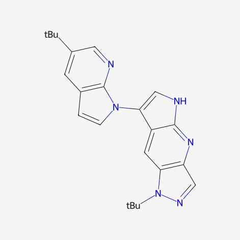 CC(C)(C)c1cnc2c(ccn2-c2c[nH]c3nc4cnn(C(C)(C)C)c4cc23)c1